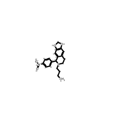 CCCCN1CCc2cc3c(cc2C1c1ccc([N+](=O)[O-])cc1)OCO3